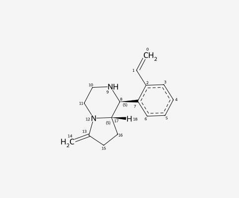 C=Cc1ccccc1[C@@H]1NCCN2C(=C)CC[C@@H]12